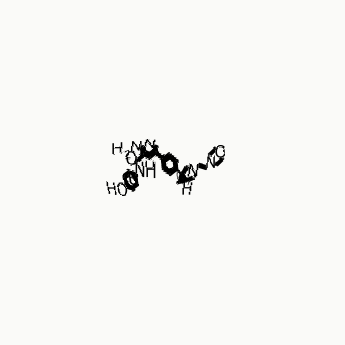 Nc1ncc(-c2ccc([C@]34C[C@H]3CN(CCN3CCOCC3)C4)cc2)cc1C(=O)NC12CCC(O)(CC1)CC2